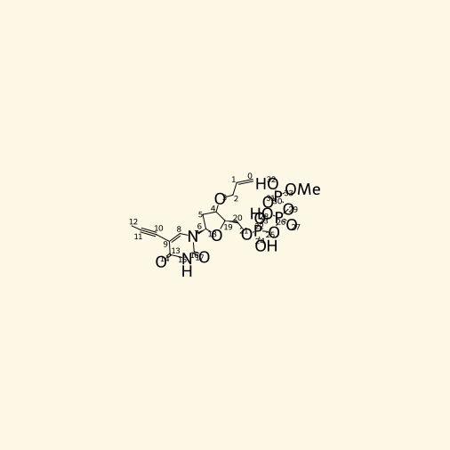 C=CCOC1C[C@H](n2cc(C#CC)c(=O)[nH]c2=O)O[C@@H]1COP(=O)(O)OP(=O)(O)OP(=O)(O)OC